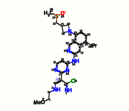 COCCN/C=C(\C(=N)Cl)c1nccc(Nc2cc3c(C(C)C)ccc(N4CC(C[S+](C)[O-])C4)c3cn2)n1